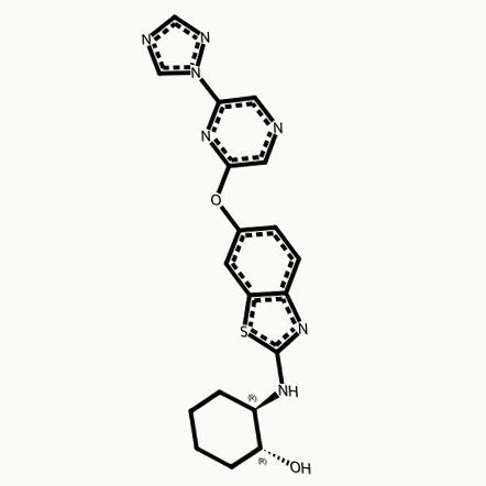 O[C@@H]1CCCC[C@H]1Nc1nc2ccc(Oc3cncc(-n4cncn4)n3)cc2s1